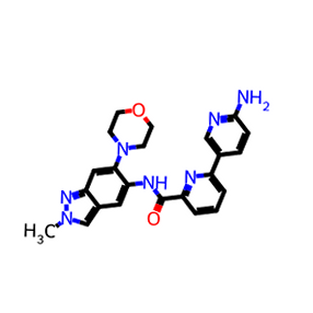 Cn1cc2cc(NC(=O)c3cccc(-c4ccc(N)nc4)n3)c(N3CCOCC3)cc2n1